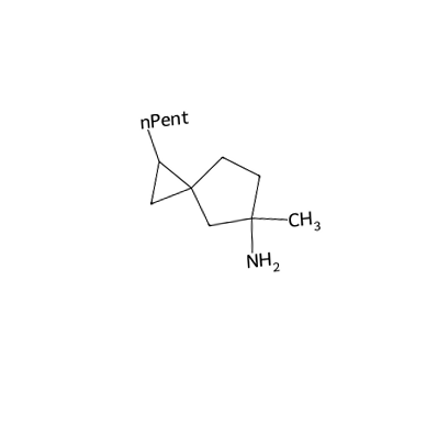 CCCCCC1CC12CCC(C)(N)C2